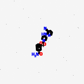 N#Cc1cccnc1NC1CCN(C(=O)O[C@H]2C3CC4CC2C[C@](C(N)=O)(C4)C3)CC1